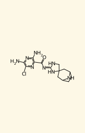 Nc1nc(N)c(C(=O)/N=C2\NCC3(CC4CCC(C3)N4)N2)nc1Cl